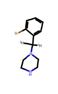 [2H]C([2H])(c1ccccc1Br)N1CCNCC1